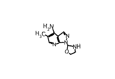 Cc1cnc2c(cnn2C2NCCO2)c1N